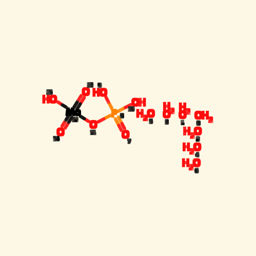 O.O.O.O.O.O.O.O=P(O)(O)[O][Mo](=[O])(=[O])[OH]